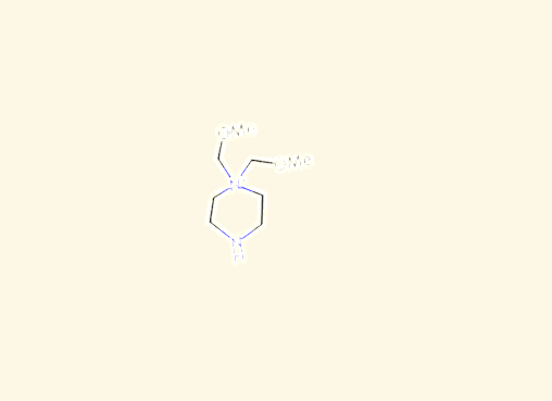 COC[N+]1(COC)CCNCC1